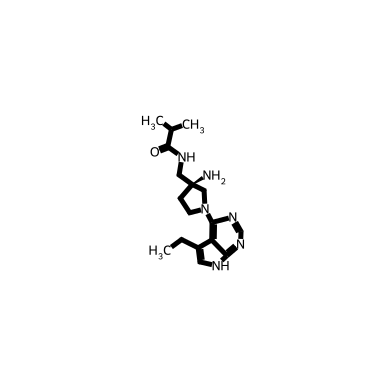 CCc1c[nH]c2ncnc(N3CC[C@](N)(CNC(=O)C(C)C)C3)c12